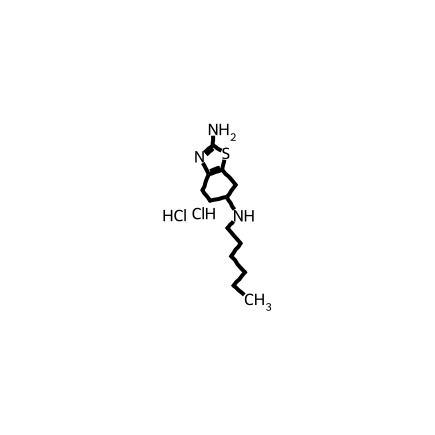 CCCCCCNC1CCc2nc(N)sc2C1.Cl.Cl